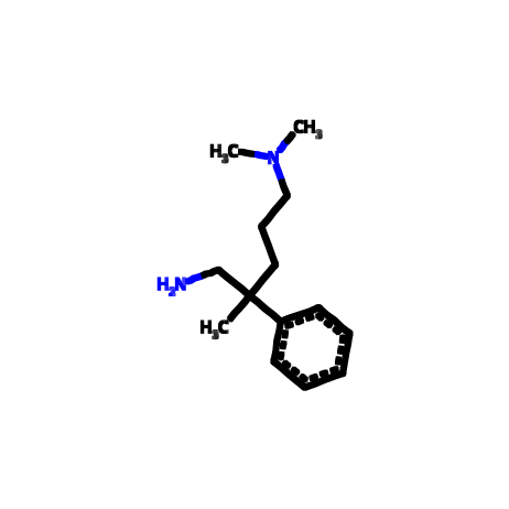 CN(C)CCCC(C)(CN)c1ccccc1